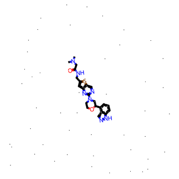 CN(C)CC(=O)NCc1cc2nc(N3CCOC(c4cccc5[nH]ncc45)C3)ncc2s1